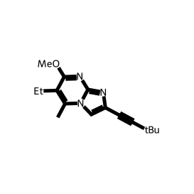 CCc1c(OC)nc2nc(C#CC(C)(C)C)cn2c1C